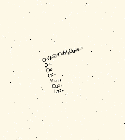 [Cu+2].[Cu+2].[La+3].[La+3].[Mn+2].[Mn+2].[O-2].[O-2].[O-2].[O-2].[O-2].[O-2].[O-2]